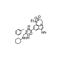 CCCc1cn2c3c(cc(C(=O)N[C@@H](Cc4ccccc4)[C@H](O)CNC4CCCCC4)cc13)N(CC)S(=O)(=O)CC2